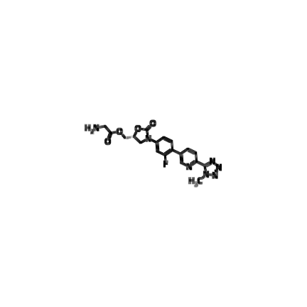 Cn1nnnc1-c1ccc(-c2ccc(N3C[C@H](COC(=O)CN)OC3=O)cc2F)cn1